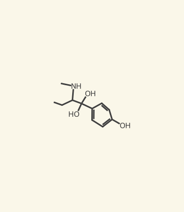 CCC(NC)C(O)(O)c1ccc(O)cc1